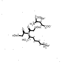 CCCCCCCCCCCC(=O)N(C(=O)CCCCCCCCCCC)C(CCCCN)C(=O)O.NC(CCC(=O)[O-])C(=O)[O-].[Na+].[Na+]